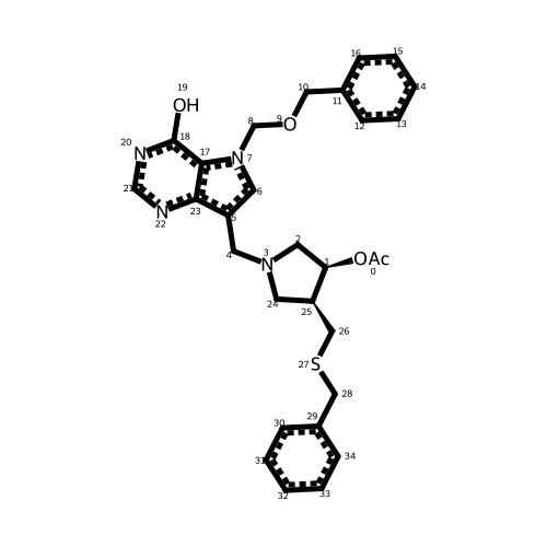 CC(=O)O[C@@H]1CN(Cc2cn(COCc3ccccc3)c3c(O)ncnc23)C[C@@H]1CSCc1ccccc1